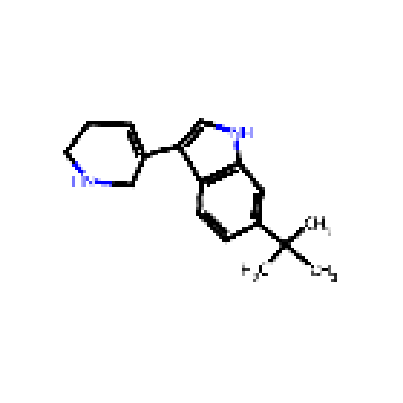 CC(C)(C)c1ccc2c(C3=CCCNC3)c[nH]c2c1